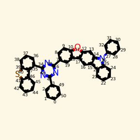 c1ccc(-c2nc(-c3ccc4oc5cc6c(cc5c4c3)c3ccccc3n6-c3ccccc3)nc(-c3cccc4sc5ccccc5c34)n2)cc1